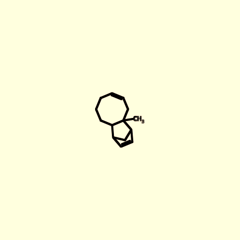 CC12CC=CCCCC1C1C=CC2C1